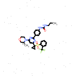 CCCNC(=O)Nc1ccc(-c2nc(N3CCOC[C@@H]3C)cc(C3(S(=O)(=O)c4ccccc4C(F)(F)F)CC3)n2)cc1